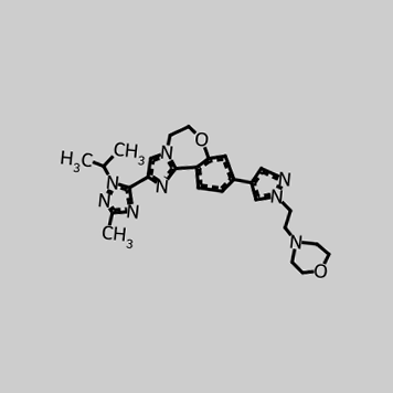 Cc1nc(-c2cn3c(n2)-c2ccc(-c4cnn(CCN5CCOCC5)c4)cc2OCC3)n(C(C)C)n1